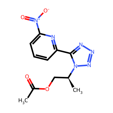 CC(=O)OC[C@H](C)n1nnnc1-c1cccc([N+](=O)[O-])n1